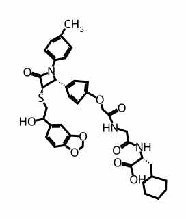 Cc1ccc(N2C(=O)[C@H](SCC(O)c3ccc4c(c3)OCO4)[C@H]2c2ccc(OCC(=O)NCC(=O)N[C@H](CC3CCCCC3)C(=O)O)cc2)cc1